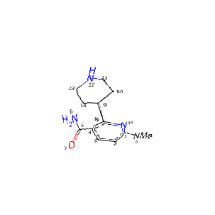 CNc1ccc(C(N)=O)c(C2CCNCC2)n1